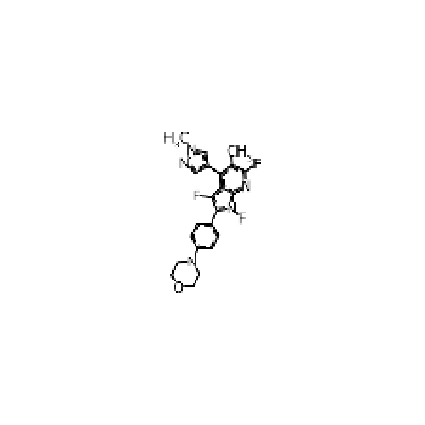 Cc1c(F)nc2c(c(F)c(-c3ccc(N4CCOCC4)cc3)n2F)c1-c1cnn(C)c1